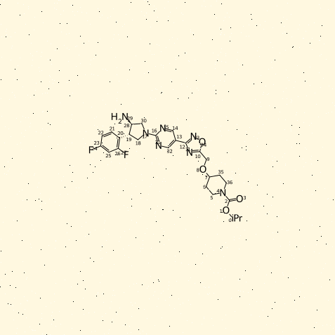 CC(C)OC(=O)N1CCC(OCc2nc(-c3cnc(N4C[C@H](c5ccc(F)cc5F)[C@@H](N)C4)nc3)no2)CC1